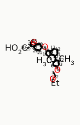 CCOCCOc1cc(C)c(-c2cccc3c2CC[C@H]3Oc2ccc3c(c2)OC[C@H]3CC(=O)O)c(C)c1